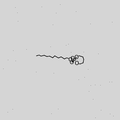 CCCCCCCCCCCCOOP1(=O)OCCCCCO1